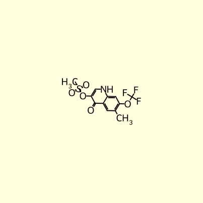 Cc1cc2c(=O)c(OS(C)(=O)=O)c[nH]c2cc1OC(F)(F)F